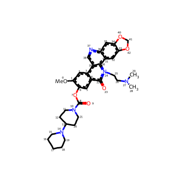 COc1cc2c(cc1OC(=O)N1CCC(N3CCCCC3)CC1)c(=O)n(CCN(C)C)c1c3cc4c(cc3ncc21)OCO4